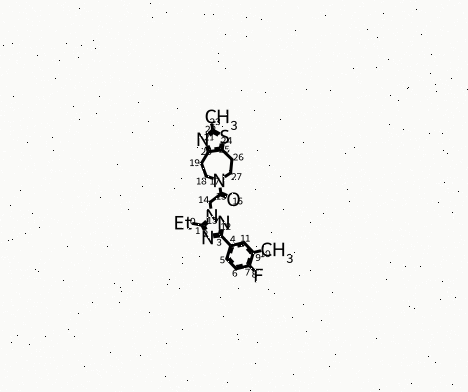 CCc1nc(-c2ccc(F)c(C)c2)nn1CC(=O)N1CCc2nc(C)sc2CC1